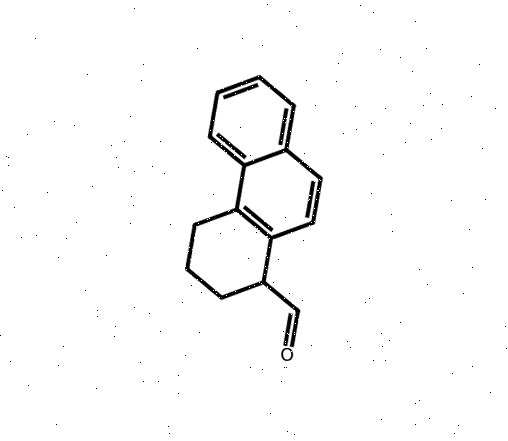 O=CC1CCCc2c1ccc1ccccc21